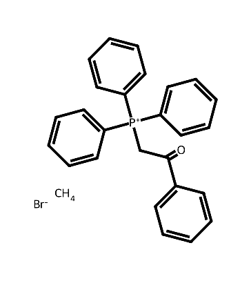 C.O=C(C[P+](c1ccccc1)(c1ccccc1)c1ccccc1)c1ccccc1.[Br-]